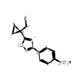 O=C(O)c1ccc(-c2noc(C3(CF)CC3)n2)cc1